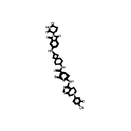 N#Cc1ccc(N2CCc3c(ncnc3Nc3ccc(C(=O)NC4CCC5(CC4)CC(Nc4ccc6c(c4)C(=O)N(C4CCC(=O)NC4=O)C6=O)C5)c(F)n3)C2)cc1Cl